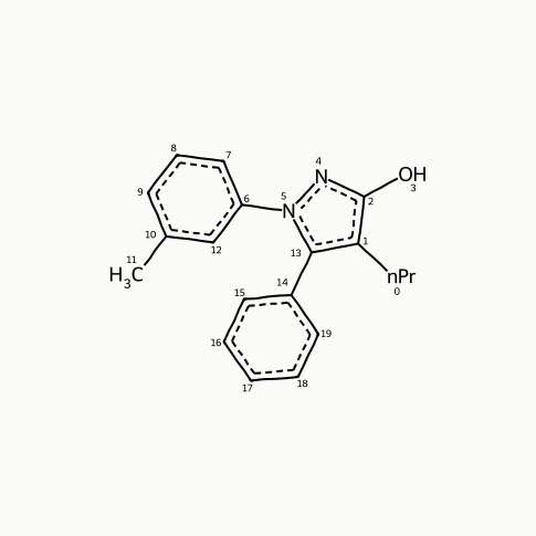 CCCc1c(O)nn(-c2cccc(C)c2)c1-c1ccccc1